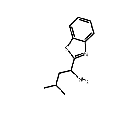 CC(C)CC(N)c1nc2ccccc2s1